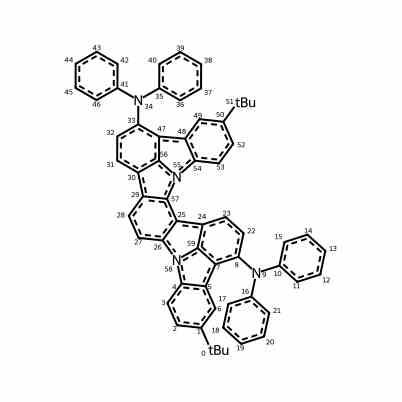 CC(C)(C)c1ccc2c(c1)c1c(N(c3ccccc3)c3ccccc3)ccc3c4c(ccc5c6ccc(N(c7ccccc7)c7ccccc7)c7c8cc(C(C)(C)C)ccc8n(c67)c54)n2c31